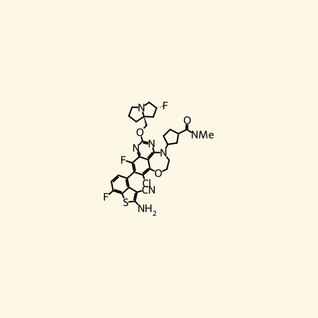 CNC(=O)C1CCC(N2CCOc3c(Cl)c(-c4ccc(F)c5sc(N)c(C#N)c45)c(F)c4nc(OC[C@@]56CCCN5C[C@H](F)C6)nc2c34)C1